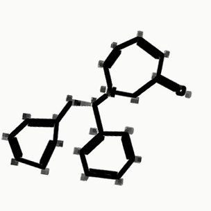 O=C1C=CC=CN([C@@H](Cc2ccccc2)c2ccccc2)C1